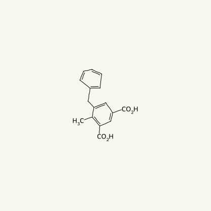 Cc1c(Cc2ccccc2)cc(C(=O)O)cc1C(=O)O